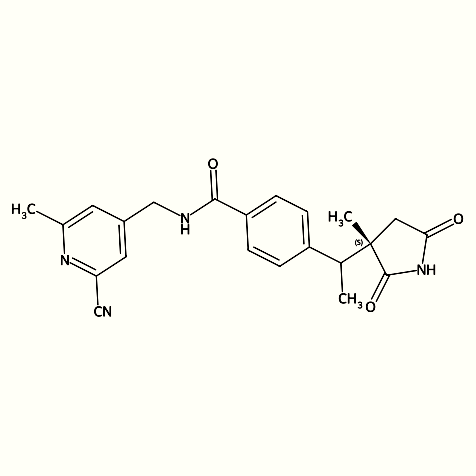 Cc1cc(CNC(=O)c2ccc(C(C)[C@]3(C)CC(=O)NC3=O)cc2)cc(C#N)n1